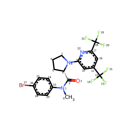 CN(C(=O)[C@@H]1CCCN1c1cc(C(F)(F)F)cc(C(F)(F)F)n1)c1ccc(Br)cc1